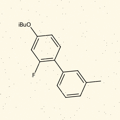 Cc1cccc(-c2ccc(OCC(C)C)cc2F)c1